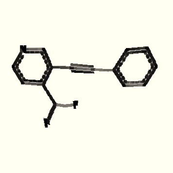 FC(F)c1ccncc1C#Cc1ccccc1